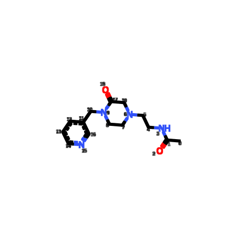 CC(=O)NCCN1CCN(Cc2cccnc2)C(=O)C1